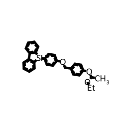 CCOC(C)Oc1ccc(COc2ccc([SH]3c4ccccc4-c4ccccc43)cc2)cc1